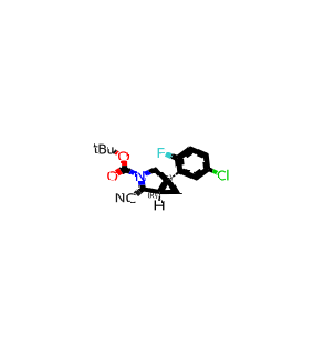 CC(C)(C)OC(=O)N1C[C@@]2(c3cc(Cl)ccc3F)C[C@H]2C1C#N